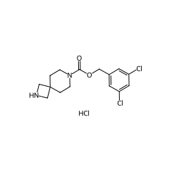 Cl.O=C(OCc1cc(Cl)cc(Cl)c1)N1CCC2(CC1)CNC2